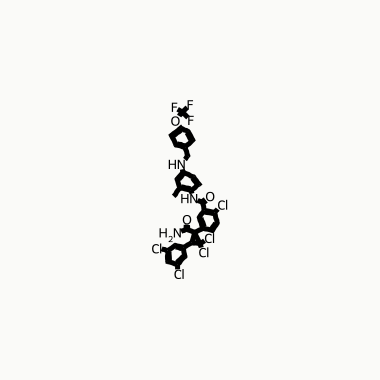 Cc1cc(NCc2ccc(OC(F)(F)F)cc2)ccc1NC(=O)c1cc(C2(C(N)=O)C(c3cc(Cl)cc(Cl)c3)C2(Cl)Cl)ccc1Cl